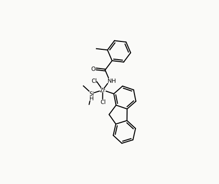 Cc1ccccc1C(=O)[NH][Zr]([Cl])([Cl])([c]1cccc2c1Cc1ccccc1-2)[SiH](C)C